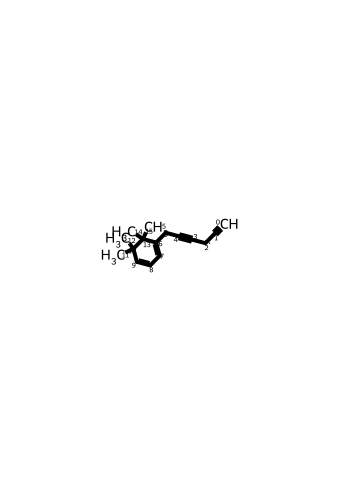 C#C[CH]C#CCC1=CC=CC(C)(C)C1(C)C